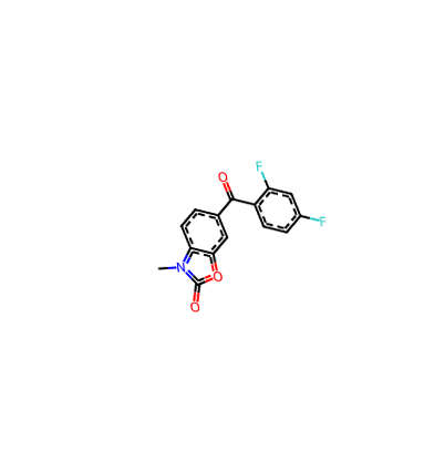 Cn1c(=O)oc2cc(C(=O)c3ccc(F)cc3F)ccc21